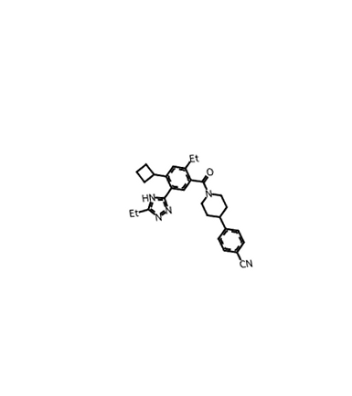 CCc1nnc(-c2cc(C(=O)N3CCC(c4ccc(C#N)cc4)CC3)c(CC)cc2C2CCC2)[nH]1